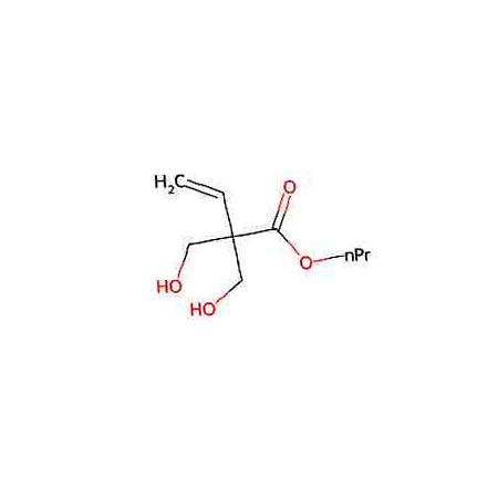 C=CC(CO)(CO)C(=O)OCCC